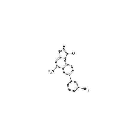 Nc1cccc(-c2ccc3c(c2)c(N)cc2n[nH]c(=O)n23)c1